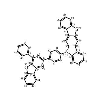 c1ccc(-c2nc(-c3ccc(-n4c5ccccc5c5cc6sc7ccccc7c6cc54)cc3)nc3c2oc2ccccc23)cc1